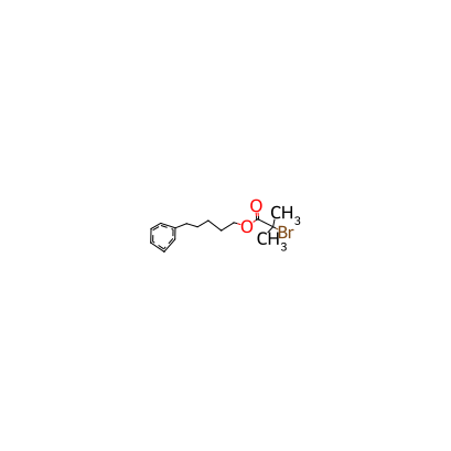 CC(C)(Br)C(=O)OCCCCCc1ccccc1